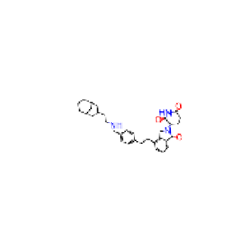 O=C1CCC(N2Cc3c(CCc4ccc(CNCCC5CC6CCCC(C6)C5)cc4)cccc3C2=O)C(=O)N1